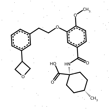 COc1ccc(C(=O)N[C@]2(C(=O)O)CC[C@H](C)CC2)cc1OCCc1cccc(C2COC2)c1